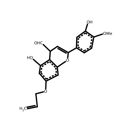 C=CCOc1cc(O)c2c(c1)OC(c1ccc(OC)c(O)c1)=CC2C=O